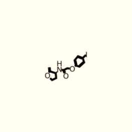 C=C1OCC[C@@H]1NC(=O)COc1ccc(I)cc1